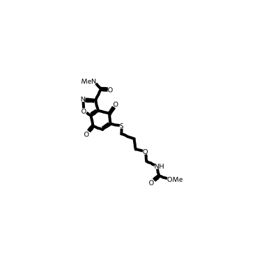 CNC(=O)c1noc2c1C(=O)C(SCCCOCNC(=O)OC)=CC2=O